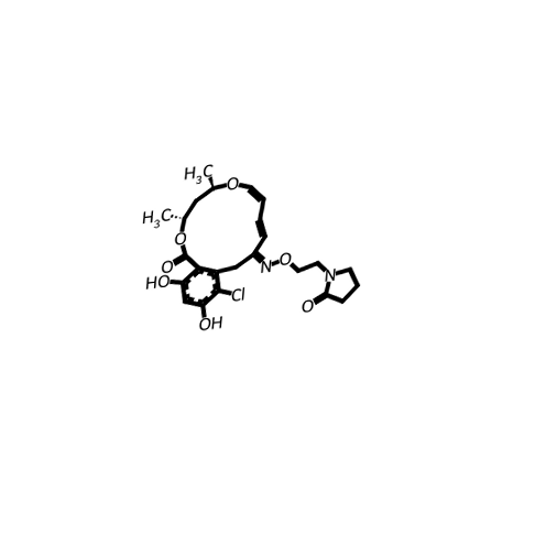 C[C@@H]1C[C@@H](C)OC(=O)c2c(O)cc(O)c(Cl)c2CC(=N/OCCN2CCCC2=O)/C=C/C=C\O1